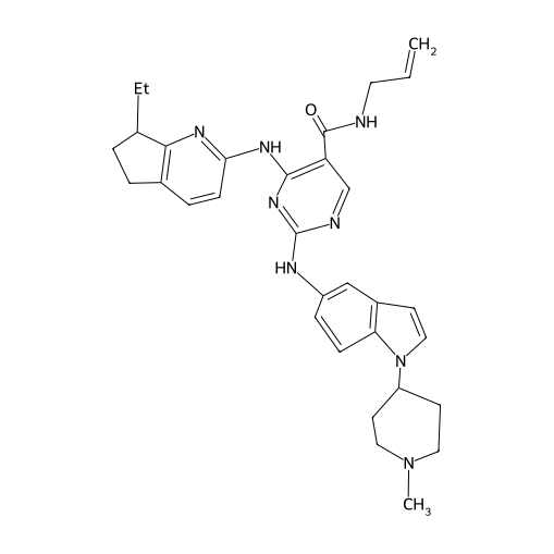 C=CCNC(=O)c1cnc(Nc2ccc3c(ccn3C3CCN(C)CC3)c2)nc1Nc1ccc2c(n1)C(CC)CC2